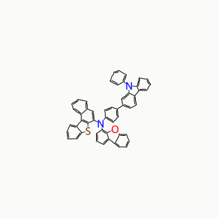 c1ccc(-n2c3ccccc3c3ccc(-c4ccc(N(c5cccc6c5oc5ccccc56)c5cc6ccccc6c6c5sc5ccccc56)cc4)cc32)cc1